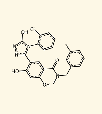 Cc1cccc(CN(C)C(=O)c2cc(-c3nnc(O)n3-c3ccccc3Cl)c(O)cc2O)c1